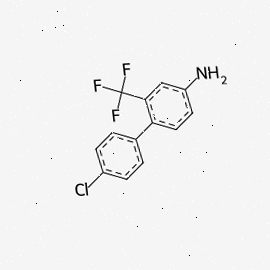 Nc1ccc(-c2ccc(Cl)cc2)c(C(F)(F)F)c1